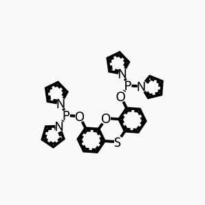 c1cc(OP(n2cccc2)n2cccc2)c2c(c1)Sc1cccc(OP(n3cccc3)n3cccc3)c1O2